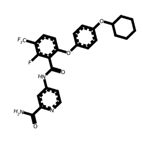 NC(=O)c1cc(NC(=O)c2c(Oc3ccc(OC4CCCCC4)cc3)ccc(C(F)(F)F)c2F)ccn1